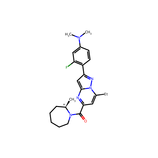 CCc1cc(C(=O)N2CCCCC[C@H]2C)nc2cc(-c3ccc(N(C)C)cc3F)nn12